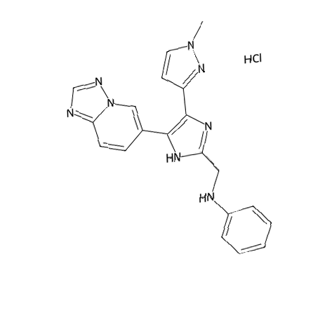 Cl.Cn1ccc(-c2nc(CNc3ccccc3)[nH]c2-c2ccc3ncnn3c2)n1